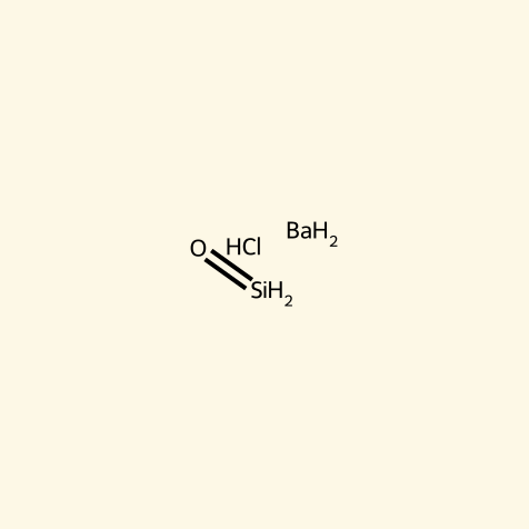 Cl.O=[SiH2].[BaH2]